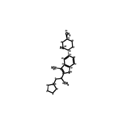 Cc1c(C(C)CN2CCCC2)sc2ccc([C@H]3CC[C@H](C)CN3)cc12